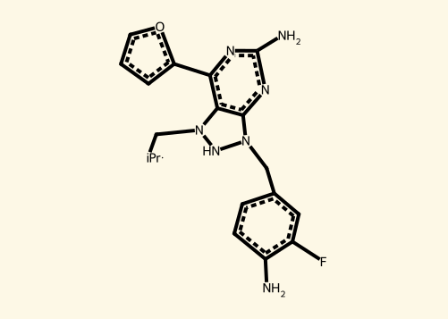 C[C](C)CN1NN(Cc2ccc(N)c(F)c2)c2nc(N)nc(-c3ccco3)c21